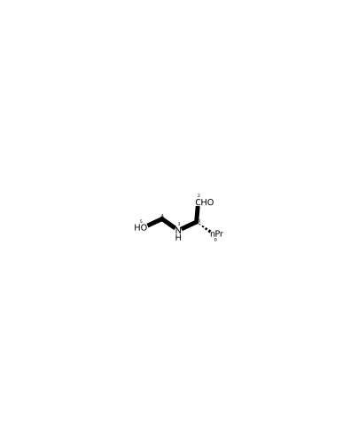 CCC[C@@H](C=O)NCO